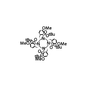 COc1ccc(C[C@H]2CN(CC(=O)OC(C)(C)C)[C@@H](Cc3ccc(OC)cc3)CN(CC(=O)OC(C)(C)C)[C@@H](Cc3ccc(OC)cc3)CN(CC(=O)OC(C)(C)C)[C@@H](Cc3ccc(OC)cc3)CN2CC(=O)OC(C)(C)C)cc1